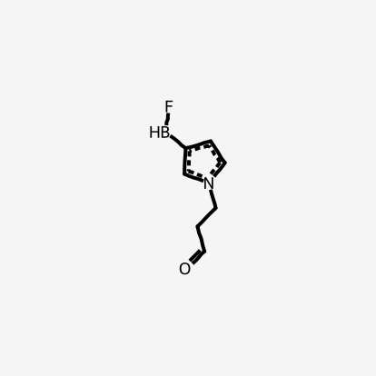 O=CCCn1ccc(BF)c1